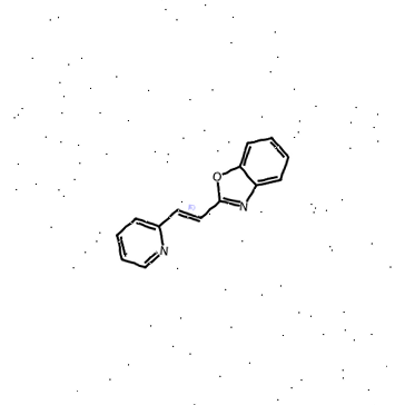 C(=C\c1nc2ccccc2o1)/c1ccccn1